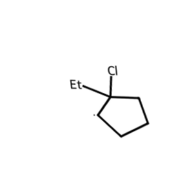 CCC1(Cl)[CH]CCC1